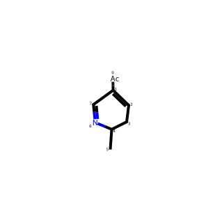 CC(=O)C1=CCC(C)N=C1